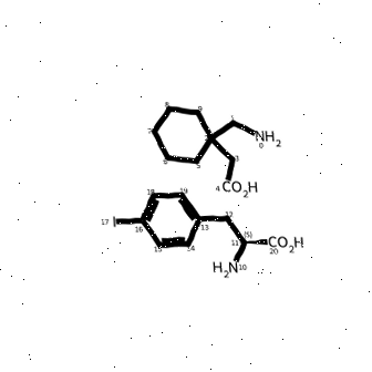 NCC1(CC(=O)O)CCCCC1.N[C@@H](Cc1ccc(I)cc1)C(=O)O